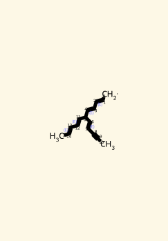 [CH2]/C=C/C=C/C(/C=C/C#CC)/C=C/C=C/C